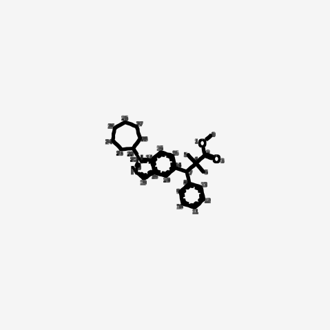 COC(=O)C(C)(C)C(c1ccccc1)c1ccc2c(cnn2C2CCCCCC2)c1